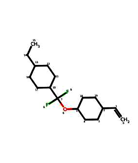 C=CC1CCC(OC(F)(F)C2CCC(CC)CC2)CC1